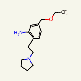 Nc1cc(COCC(F)(F)F)ccc1CCN1CCCC1